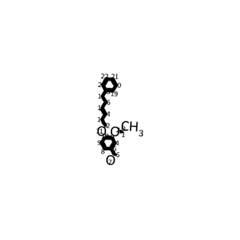 CCOc1cc(C=O)ccc1OCCC=CCCc1ccccc1